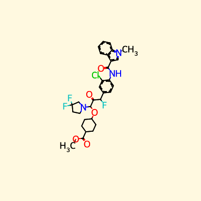 COC(=O)C1CCC(OC(C(=O)C(F)c2ccc(NC(=O)c3cn(C)c4ccccc34)c(Cl)c2)N2CCC(F)(F)C2)CC1